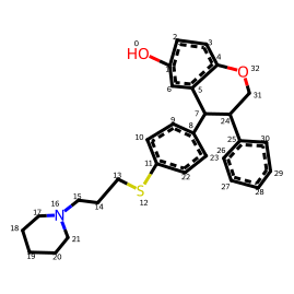 Oc1ccc2c(c1)C(c1ccc(SCCCN3CCCCC3)cc1)C(c1ccccc1)CO2